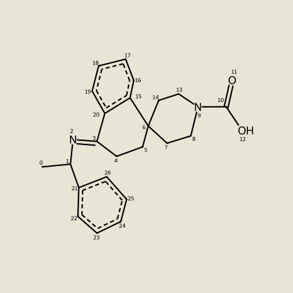 CC(N=C1CCC2(CCN(C(=O)O)CC2)c2ccccc21)c1ccccc1